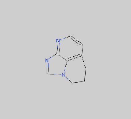 c1cc2c3c(n1)ncn3CCC2